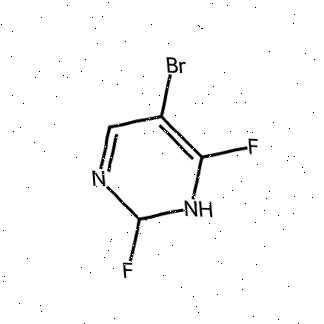 F[C]1N=CC(Br)=C(F)N1